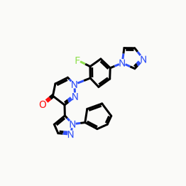 O=c1ccn(-c2ccc(-n3ccnc3)cc2F)nc1-c1ccnn1-c1ccccc1